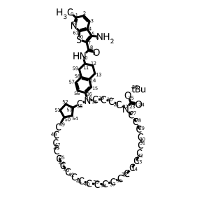 Cc1ccc2c(N)c(C(=O)NC3CCc4cc(N5CCCCN(C(=O)OC(C)(C)C)CCCCCCCCCCCCCCCCCCCCCCCC6CCC(C6)C5)ccc4C3)sc2n1